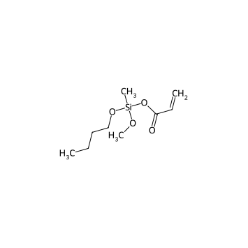 C=CC(=O)O[Si](C)(OC)OCCCC